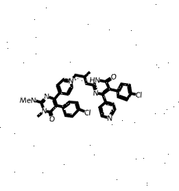 CNc1nc(-c2cc[n+](CC(C)Cc3nc(-c4ccncc4)c(-c4ccc(Cl)cc4)c(=O)[nH]3)cc2)c(-c2ccc(Cl)cc2)c(=O)n1C